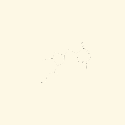 CCOC(=O)c1sc(Cn2cc(Cl)cnc2=O)nc1C